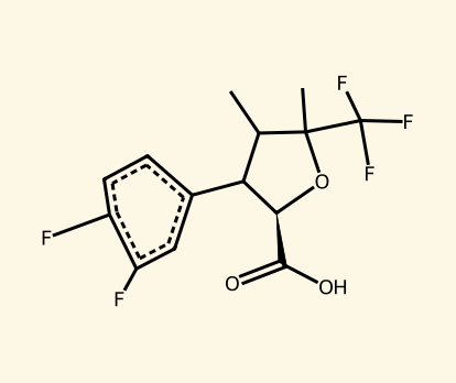 CC1C(c2ccc(F)c(F)c2)[C@H](C(=O)O)OC1(C)C(F)(F)F